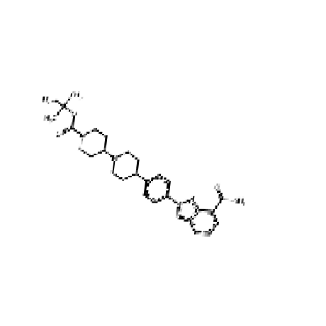 CC(C)(C)OC(=O)N1CCC(N2CCC(c3ccc(-n4cc5cccc(C(N)=O)c5n4)cc3)CC2)CC1